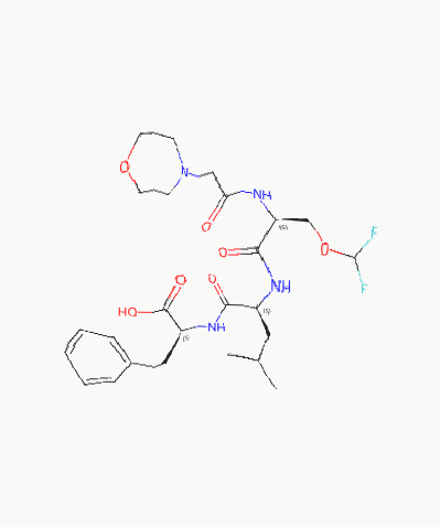 CC(C)C[C@H](NC(=O)[C@H](COC(F)F)NC(=O)CN1CCOCC1)C(=O)N[C@@H](Cc1ccccc1)C(=O)O